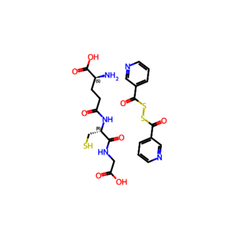 N[C@@H](CCC(=O)N[C@@H](CS)C(=O)NCC(=O)O)C(=O)O.O=C(SSC(=O)c1cccnc1)c1cccnc1